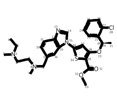 CCN(C)CCN(C)Cc1ccc2ncn(-c3cc(O[C@H](C)c4ccccc4Cl)c(C(=O)OC)s3)c2c1